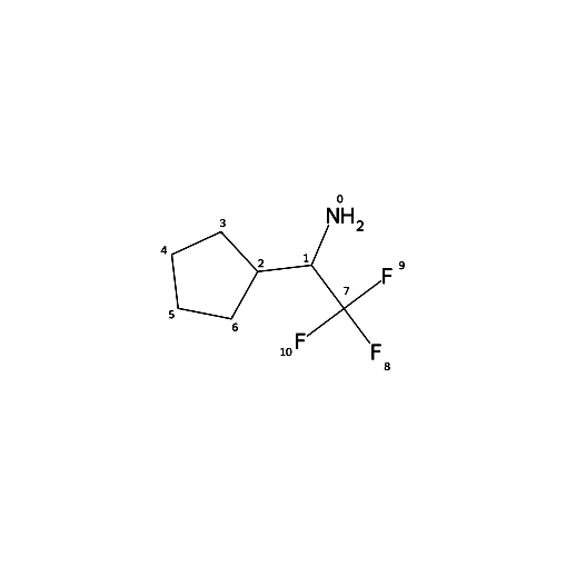 NC(C1CCCC1)C(F)(F)F